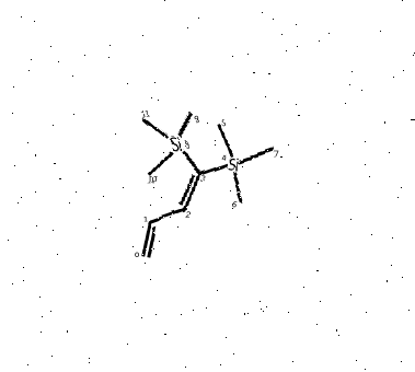 C=CC=C([Si](C)(C)C)[Si](C)(C)C